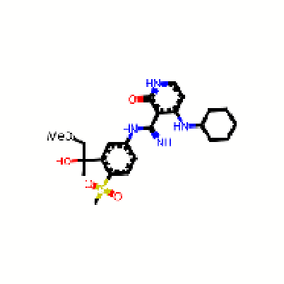 COCC(C)(O)c1cc(NC(=N)c2c(NC3CCCCC3)cc[nH]c2=O)ccc1S(C)(=O)=O